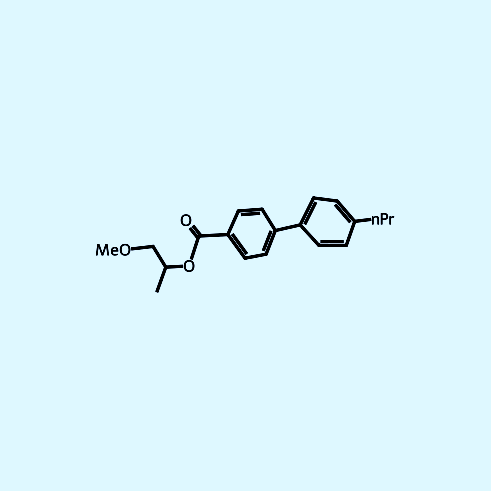 CCCc1ccc(-c2ccc(C(=O)OC(C)COC)cc2)cc1